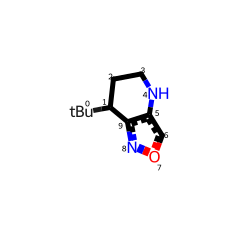 CC(C)(C)C1CCNc2conc21